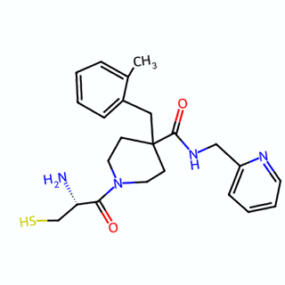 Cc1ccccc1CC1(C(=O)NCc2ccccn2)CCN(C(=O)[C@@H](N)CS)CC1